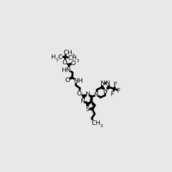 CCCc1cc2c(N3CCn4c(nnc4C(F)(F)F)C3)nc(OCCNC(=O)CNC(=O)OC(C)(C)C)nc2s1